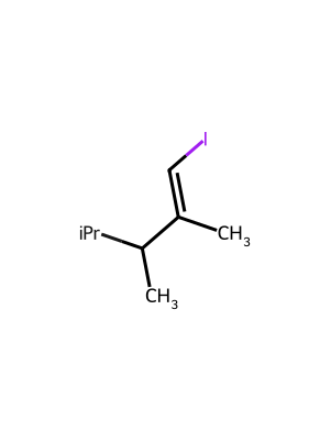 CC(=CI)C(C)C(C)C